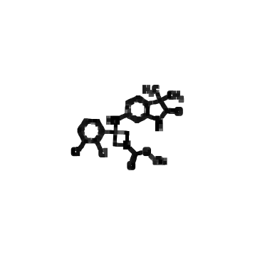 CC(C)(C)OC(=O)N1CC(Nc2ccc3c(c2)NC(=O)C3(C)C)(c2cccc(Cl)c2Cl)C1